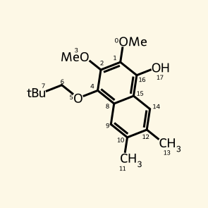 COc1c(OC)c(OCC(C)(C)C)c2cc(C)c(C)cc2c1O